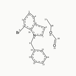 Brc1cccc2ccn(Cc3ccccc3)c12.CCOC=O